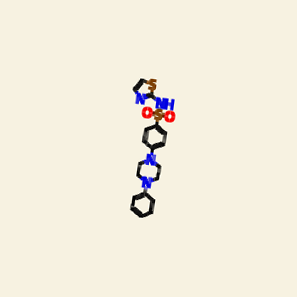 O=S(=O)(Nc1nccs1)c1ccc(N2CCN(c3ccccc3)CC2)cc1